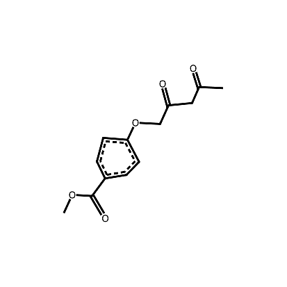 COC(=O)c1ccc(OCC(=O)CC(C)=O)cc1